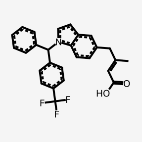 CC(=CC(=O)O)Cc1ccc2c(ccn2C(c2ccccc2)c2ccc(C(F)(F)F)cc2)c1